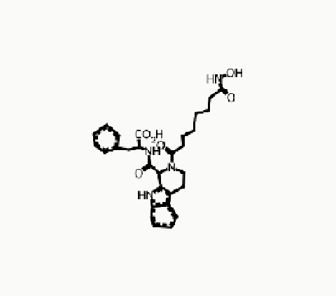 O=C(CCCCCCC(=O)N1CCc2c([nH]c3ccccc23)C1C(=O)NC(Cc1ccccc1)C(=O)O)NO